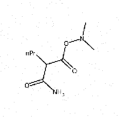 CCCC(C(N)=O)C(=O)ON(C)C